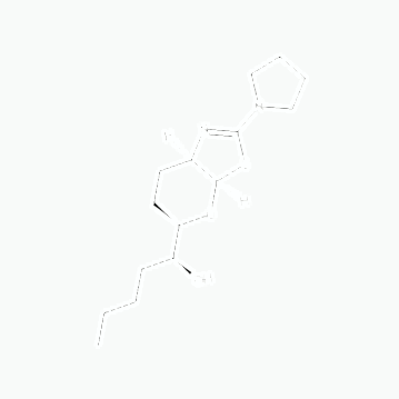 CCCC[C@H](O)[C@H]1CC[C@H]2N=C(N3CCCC3)S[C@H]2O1